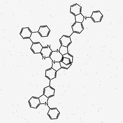 c1ccc(-c2ccccc2-c2ccc3nc(-n4c5ccccc5c5cc(-c6ccc7c(c6)c6ccccc6n7-c6ccccc6)ccc54)c(-n4c5ccccc5c5cc(-c6ccc7c(c6)c6ccccc6n7-c6ccccc6)ccc54)nc3c2)cc1